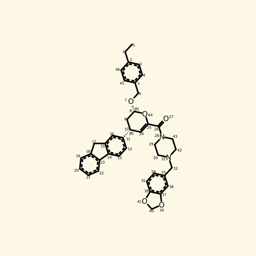 CCc1ccc(CO[C@H]2C[C@@H](c3ccc4c(c3)Cc3ccccc3-4)C=C(C(=O)N3CCN(Cc4ccc5c(c4)OCO5)CC3)O2)cc1